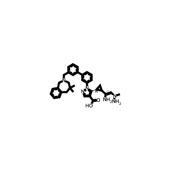 CN(N)/C=C(\N)C1C[C@H]1c1c(C(=O)O)cnn1-c1cccc(-c2cccc(CN3Cc4ccccc4CC(C)(C)C3)c2)c1